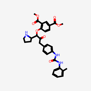 COC(=O)c1ccc(OC(C(=O)Cc2ccc(NC(=O)Nc3ccccc3C)cc2)C2CCCN2)c(C(=O)OC)c1